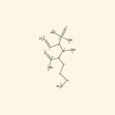 C=CC(N(O)C(CCCN)C(=O)O)P(=O)(O)O